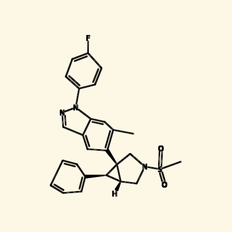 Cc1cc2c(cnn2-c2ccc(F)cc2)cc1[C@@]12CN(S(C)(=O)=O)C[C@@H]1[C@H]2c1ccccc1